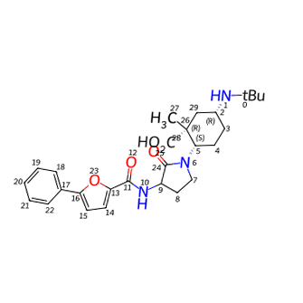 CC(C)(C)N[C@@H]1CC[C@H](N2CCC(NC(=O)c3ccc(-c4ccccc4)o3)C2=O)[C@](C)(C(=O)O)C1